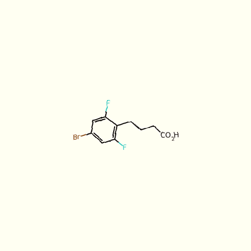 O=C(O)CCCc1c(F)cc(Br)cc1F